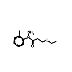 CCOCCC(=O)N(N)c1ccccc1C